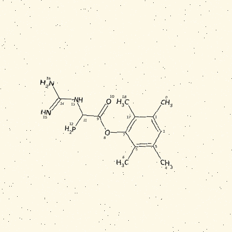 Cc1cc(C)c(C)c(OC(=O)C(P)NC(=N)N)c1C